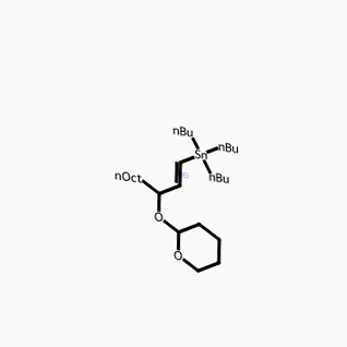 CCCCCCCCC(/C=[CH]/[Sn]([CH2]CCC)([CH2]CCC)[CH2]CCC)OC1CCCCO1